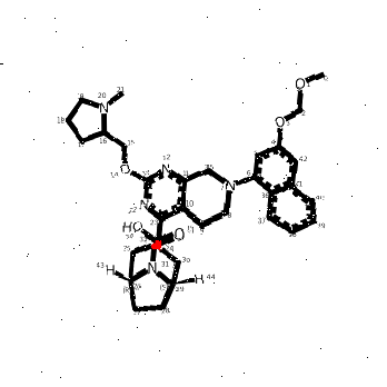 COCOc1cc(N2CCc3c(nc(OCC4CCCN4C)nc3N3C[C@H]4CC[C@@H](C3)N4C(=O)O)C2)c2ccccc2c1